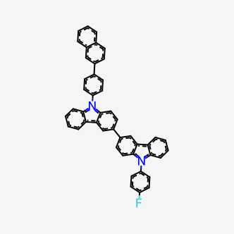 Fc1ccc(-n2c3ccccc3c3cc(-c4ccc5c(c4)c4ccccc4n5-c4ccc(-c5ccc6ccccc6c5)cc4)ccc32)cc1